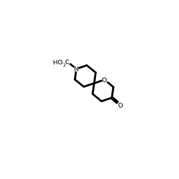 O=C1CCC2(CCN(C(=O)O)CC2)OC1